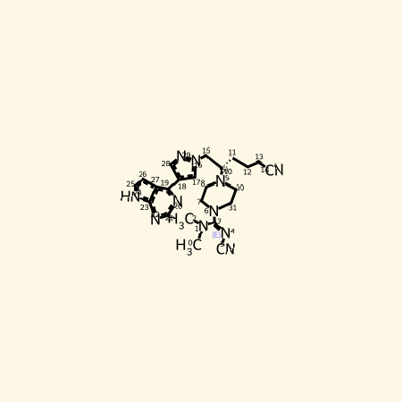 CN(C)/C(=N\C#N)N1CCN([C@@H](CCCC#N)Cn2cc(-c3ncnc4[nH]ccc34)cn2)CC1